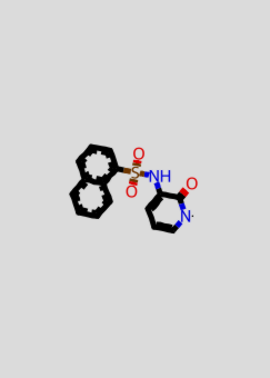 O=C1[N]C=CC=C1NS(=O)(=O)c1cccc2ccccc12